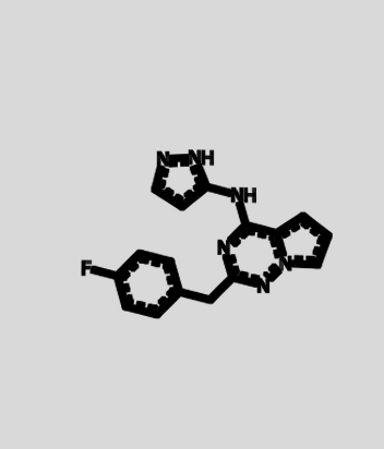 Fc1ccc(Cc2nc(Nc3ccn[nH]3)c3cccn3n2)cc1